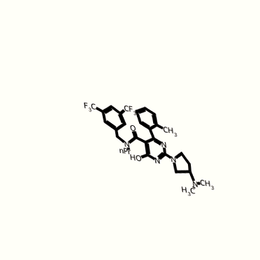 CCCN(Cc1cc(C(F)(F)F)cc(C(F)(F)F)c1)C(=O)c1c(O)nc(N2CCC(N(C)C)C2)nc1-c1ccccc1C